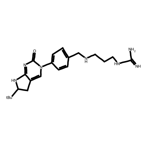 CC(C)(C)C1Cc2cn(-c3ccc(CNCCCNC(=N)N)cc3)c(=O)nc2N1